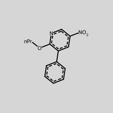 [CH2]CCOc1ncc([N+](=O)[O-])cc1-c1ccccc1